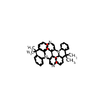 CC1(C)c2ccccc2N(c2cnccc2-c2ccncc2N2c3ccccc3C(C)(C)c3ccccc32)c2ccccc21